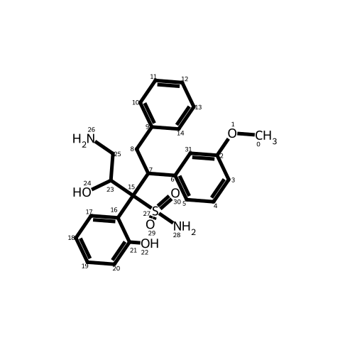 COc1cccc(C(Cc2ccccc2)C(c2ccccc2O)(C(O)CN)S(N)(=O)=O)c1